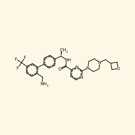 C[C@@H](NC(=O)c1ccnc(N2CCN(CC3COC3)CC2)n1)c1ccc(-c2cc(C(F)(F)F)ccc2CN)cc1